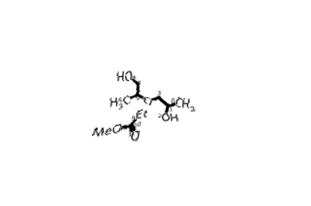 CC(O)COC(C)CO.CCC(=O)OC